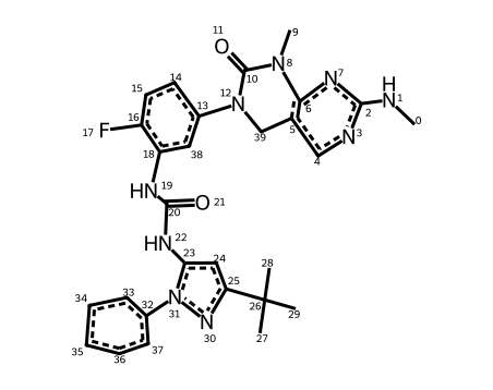 CNc1ncc2c(n1)N(C)C(=O)N(c1ccc(F)c(NC(=O)Nc3cc(C(C)(C)C)nn3-c3ccccc3)c1)C2